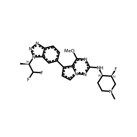 COc1nc(N[C@@H]2CCN(C)C[C@@H]2F)nn2ccc(-c3ccc4nnn([C@H](C)C(F)F)c4c3)c12